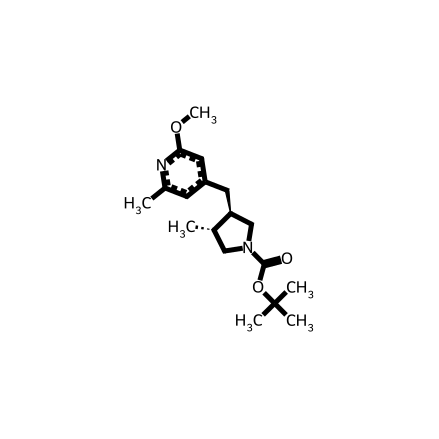 COc1cc(C[C@H]2CN(C(=O)OC(C)(C)C)C[C@@H]2C)cc(C)n1